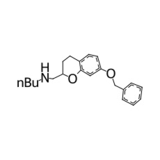 CCCCNCC1CCc2ccc(OCc3ccccc3)cc2O1